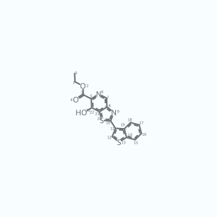 CCOC(=O)c1ncc2nc(-c3csc4ccccc34)sc2c1O